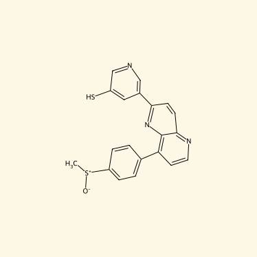 C[S+]([O-])c1ccc(-c2ccnc3ccc(-c4cncc(S)c4)nc23)cc1